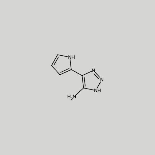 Nc1[nH]nnc1-c1ccc[nH]1